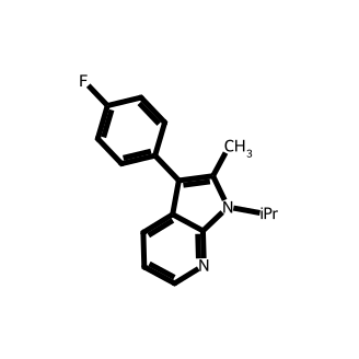 Cc1c(-c2ccc(F)cc2)c2cccnc2n1C(C)C